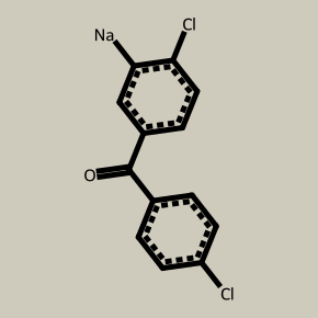 O=C(c1ccc(Cl)cc1)c1ccc(Cl)[c]([Na])c1